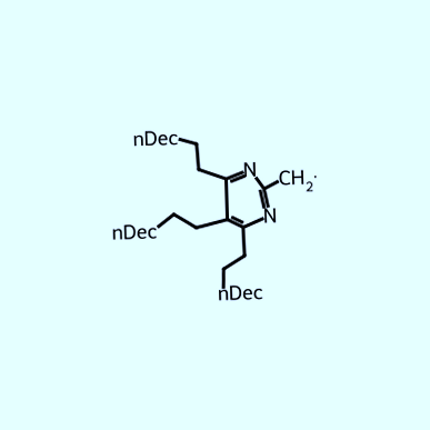 [CH2]c1nc(CCCCCCCCCCCC)c(CCCCCCCCCCCC)c(CCCCCCCCCCCC)n1